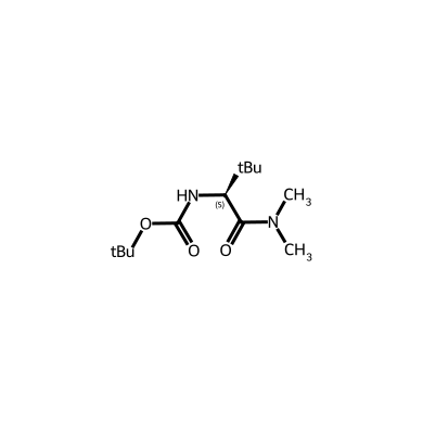 CN(C)C(=O)[C@@H](NC(=O)OC(C)(C)C)C(C)(C)C